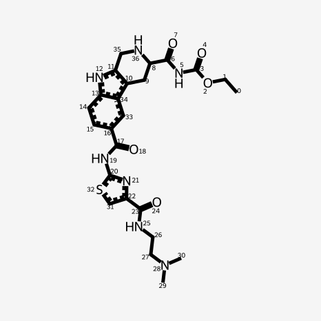 CCOC(=O)NC(=O)C1Cc2c([nH]c3ccc(C(=O)Nc4nc(C(=O)NCCN(C)C)cs4)cc23)CN1